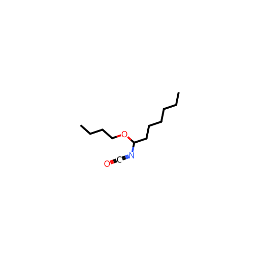 CCCCCCC(N=C=O)OCCCC